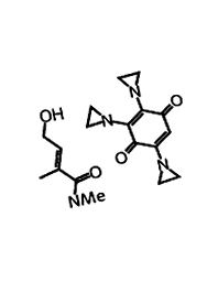 CNC(=O)/C(C)=C/CO.O=C1C=C(N2CC2)C(=O)C(N2CC2)=C1N1CC1